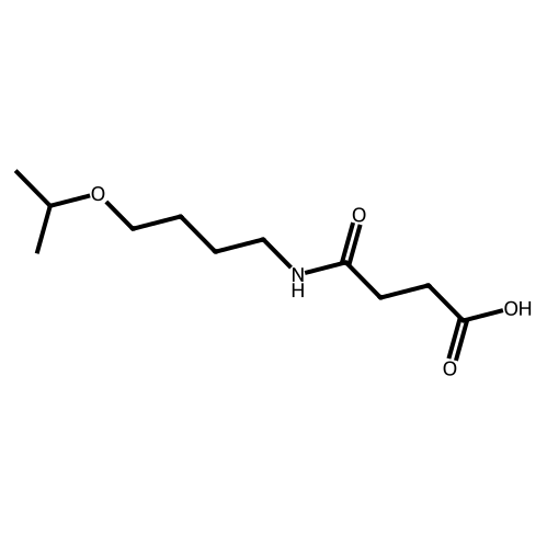 CC(C)OCCCCNC(=O)CCC(=O)O